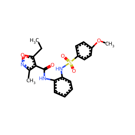 CCc1onc(C)c1C(=O)Nc1ccccc1NS(=O)(=O)c1ccc(OC)cc1